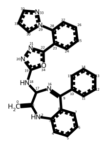 C=C1Nc2ccccc2C(c2ccccc2)=NC1Nc1nnc(-c2ccccc2-n2cccn2)o1